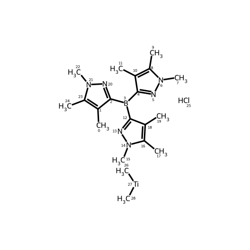 Cc1c(B(c2nn(C)c(C)c2C)c2nn(C)c(C)c2C)nn(C)c1C.Cl.[CH3][Ti][CH3]